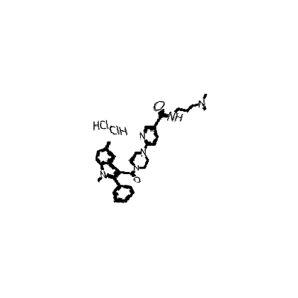 Cc1ccc2c(c1)c(C(=O)N1CCN(c3ccc(C(=O)NCCCN(C)C)cn3)CC1)c(-c1ccccc1)n2C.Cl.Cl